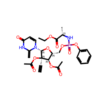 C#C[C@@]1(OC(C)=O)[C@H](OC(C)=O)[C@@H](COP(=O)(N[C@@H](C)C(=O)OCC)Oc2ccccc2)O[C@H]1N1C=CC(=O)NC1=C